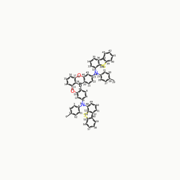 Cc1ccc(N(c2ccc3c(c2)Oc2cccc4c2B3c2ccc(N(c3ccc(C)cc3)c3cccc5c3sc3ccccc35)cc2O4)c2cccc3c2sc2ccccc23)cc1